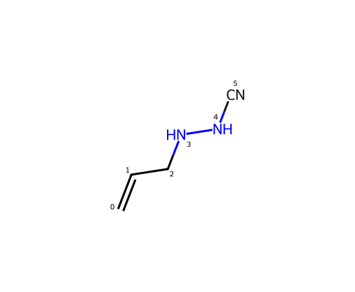 C=CCNNC#N